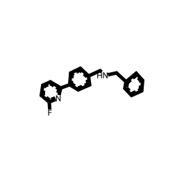 Fc1cccc(-c2ccc(CNCc3ccccc3)cc2)n1